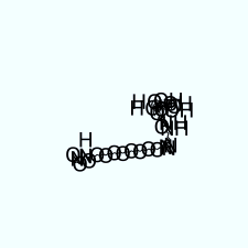 O=C(CCOCCOCCOCCOCCOCCOCCOCCOCCn1cc(CCCCNC(=O)Nc2ccc(O[C@H]3O[C@H](CCP(=O)(O)O)[C@@H](O)[C@H](O)[C@@H]3O)cc2)nn1)NCCN1C(=O)C=CC1=O